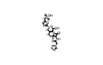 O=C(Cn1cnnn1)NC1C(=O)N2C(C(=O)O)=C(CSc3nnc(CS(=O)(=O)O)o3)CS[C@H]12